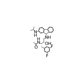 CC(=O)N[C@@H](Cc1cc(F)cc(F)c1)[C@@H](O)CNC1c2ccccc2-c2ccc(NC(C)C)cc21